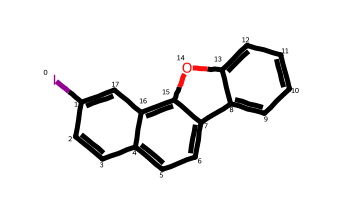 Ic1ccc2ccc3c4ccccc4oc3c2c1